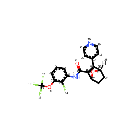 O=C(Nc1cccc(OC(F)(F)F)c1F)C1=C(c2ccncc2)[C@@H]2CCC1O2